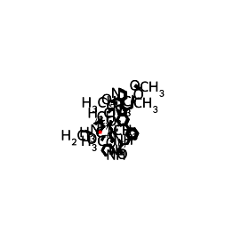 C=CC(=O)N1C[C@@H](C)[C@H](C(=O)N(C)[C@H](C(=O)N[C@@H](Cc2cccc(C3=Cc4c(CC(C)(C)COC(C)=O)c(-c5cccnc5[C@H](C)OC)n(CC)c4CC3)c2)C(=O)N2CCCCN2)C(C)C)C1